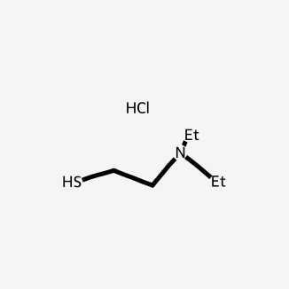 CCN(CC)CCS.Cl